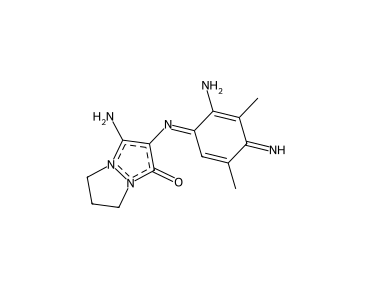 CC1=C/C(=N\c2c(N)n3n(c2=O)CCC3)C(N)=C(C)C1=N